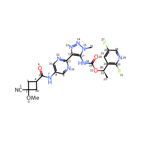 COC1(C#N)CC(C(=O)Nc2cnc(-c3nnn(C)c3NC(=O)O[C@H](C)c3cc(F)cnc3F)nc2)C1